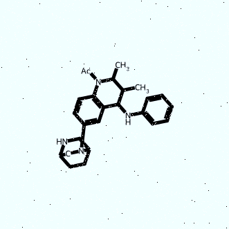 CC(=O)N1c2ccc(N3CC4CCC3CN4)cc2C(Nc2ccccc2)C(C)C1C